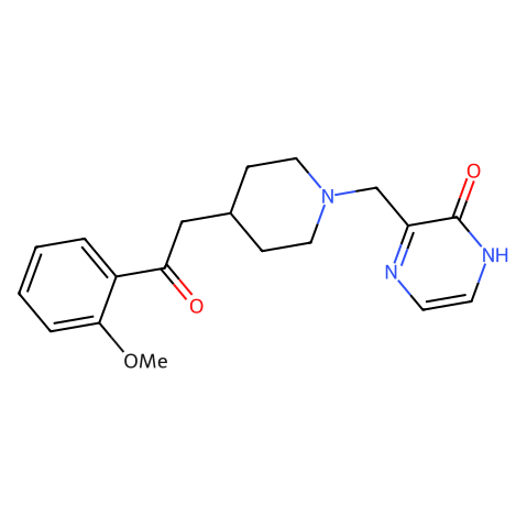 COc1ccccc1C(=O)CC1CCN(Cc2ncc[nH]c2=O)CC1